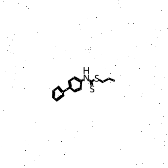 CCCSC(=S)Nc1ccc(-c2ccccc2)cc1